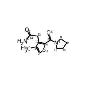 Cc1csc(C(=O)N2CCCC2)c1CC(N)=O